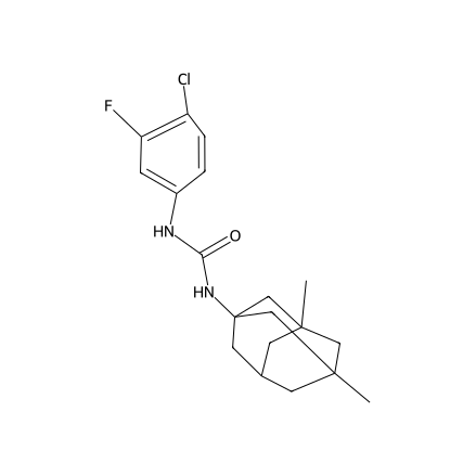 CC12CC3CC(C)(C1)CC(NC(=O)Nc1ccc(Cl)c(F)c1)(C3)C2